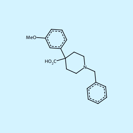 COc1cccc(C2(C(=O)O)CCN(Cc3ccccc3)CC2)c1